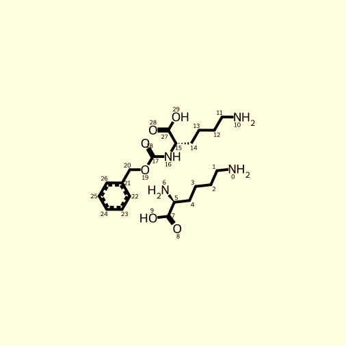 NCCCC[C@H](N)C(=O)O.NCCCC[C@H](NC(=O)OCc1ccccc1)C(=O)O